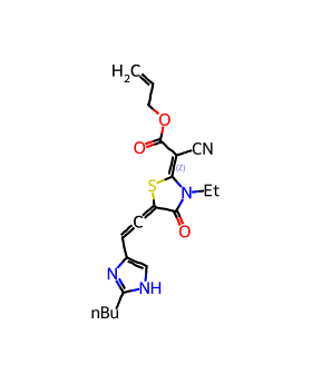 C=CCOC(=O)/C(C#N)=c1\sc(=C=Cc2c[nH]c(CCCC)n2)c(=O)n1CC